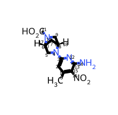 Cc1cc(N2C[C@H]3C[C@@H]2CN3C(=O)O)nc(N)c1[N+](=O)[O-]